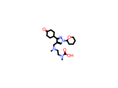 CN(CCN(C)C(=O)O)Cc1cn(C2CCCCO2)nc1C1CCC(=O)CC1